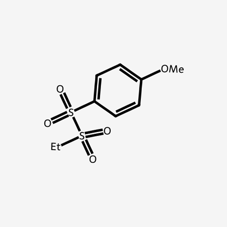 CCS(=O)(=O)S(=O)(=O)c1ccc(OC)cc1